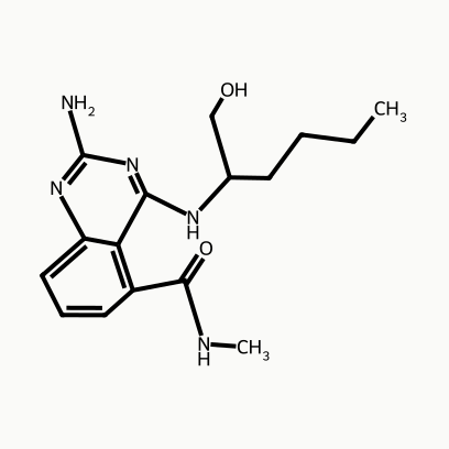 CCCCC(CO)Nc1nc(N)nc2cccc(C(=O)NC)c12